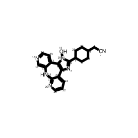 N#CCC1CCC(c2nc3c(n2O)-c2ccncc2Nc2ncccc2-3)CC1